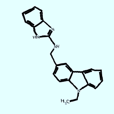 CCn1c2ccccc2c2cc(CNc3nc4ccccc4[nH]3)ccc21